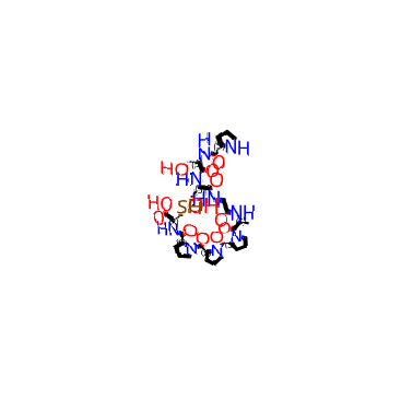 C[C@H](NC(=O)CNC(=O)[C@H](CO)NC(=O)[C@H](CO)NC(=O)[C@@H]1CCCN1)C(=O)N1CCC[C@H]1C(=O)N1CCC[C@H]1C(=O)N1CCC[C@H]1C(=O)N[C@@H](CS)C(=O)O